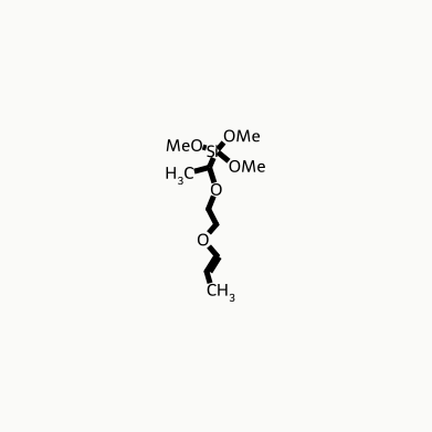 CC=COCCOC(C)[Si](OC)(OC)OC